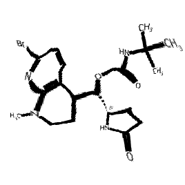 CN1CCC(C(OC(=O)NC(C)(C)C)[C@@H]2CCC(=O)N2)c2ccc(Br)nc21